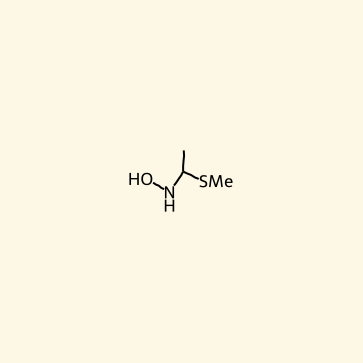 CSC(C)NO